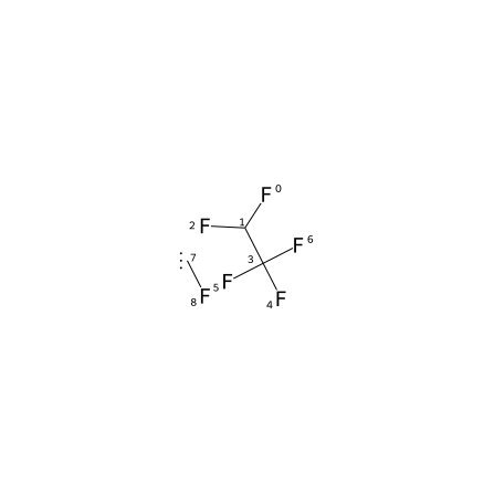 FC(F)C(F)(F)F.[C]F